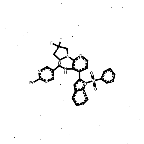 CC(C)c1ncc(C(=O)Nc2c(-c3cc4ccccc4n3S(=O)(=O)c3ccccc3)ccnc2N2CCC(F)(F)C2)cn1